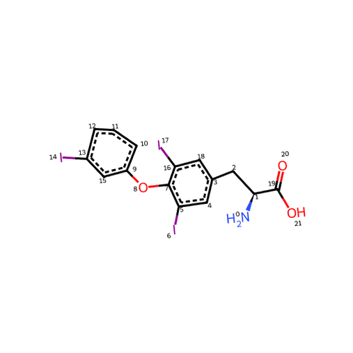 N[C@@H](Cc1cc(I)c(Oc2cccc(I)c2)c(I)c1)C(=O)O